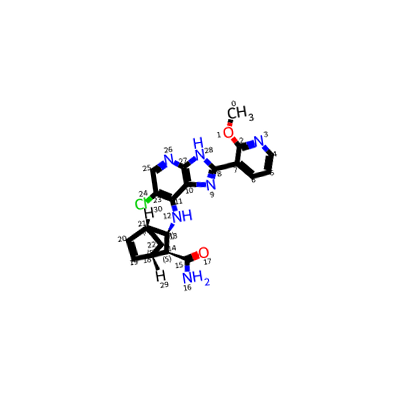 COc1ncccc1-c1nc2c(N[C@H]3[C@@H](C(N)=O)[C@@H]4C=C[C@H]3C4)c(Cl)cnc2[nH]1